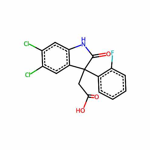 O=C(O)CC1(c2ccccc2F)C(=O)Nc2cc(Cl)c(Cl)cc21